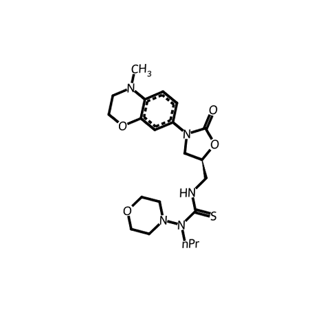 CCCN(C(=S)NC[C@H]1CN(c2ccc3c(c2)OCCN3C)C(=O)O1)N1CCOCC1